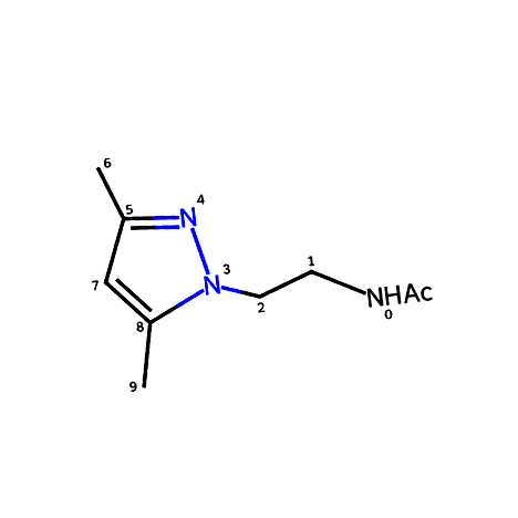 CC(=O)NCCn1nc(C)cc1C